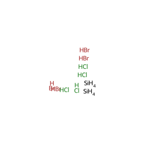 Br.Br.Br.Br.Cl.Cl.Cl.Cl.[SiH4].[SiH4]